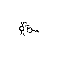 Cc1cccc([SH]2(=O)N[Se]c3ccc(C)cc32)c1